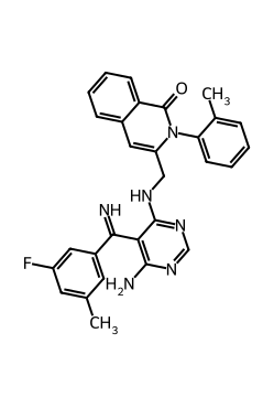 Cc1cc(F)cc(C(=N)c2c(N)ncnc2NCc2cc3ccccc3c(=O)n2-c2ccccc2C)c1